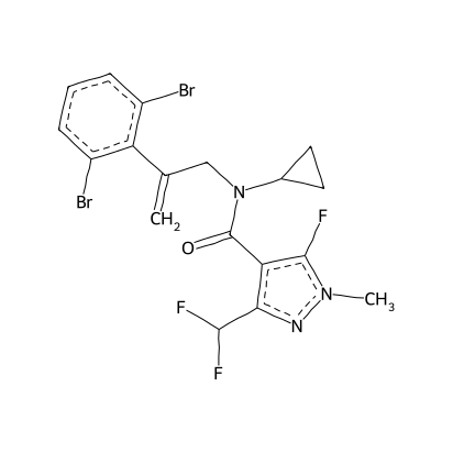 C=C(CN(C(=O)c1c(C(F)F)nn(C)c1F)C1CC1)c1c(Br)cccc1Br